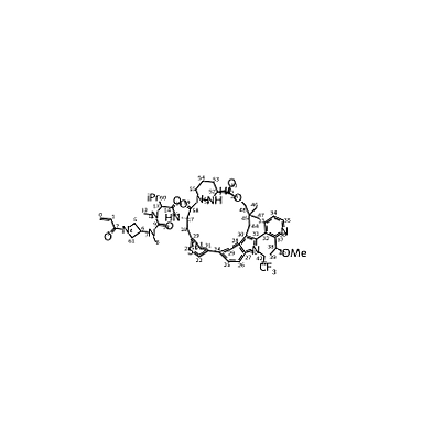 C=CC(=O)N1CC(N(C)C(=O)N(C)C(C(=O)N[C@H]2Cc3nc(cs3)-c3ccc4c(c3)c(c(-c3cccnc3[C@H](C)OC)n4CC(F)(F)F)CC(C)(C)COC(=O)[C@@H]3CCCN(N3)C2=O)C(C)C)C1